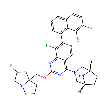 Fc1ccc2cccc(-c3ncc4c(N5C[C@H]6CC[C@@H](C5)N6)nc(OCC56CCCN5CC(F)C6)nc4c3F)c2c1Cl